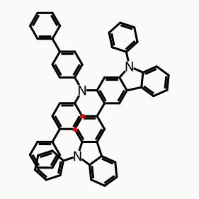 c1ccc(-c2ccc(N(c3ccc(-c4ccccc4)cc3)c3cc4c(cc3-c3ccc5c(c3)c3ccccc3n5-c3ccccc3)c3ccccc3n4-c3ccccc3)cc2)cc1